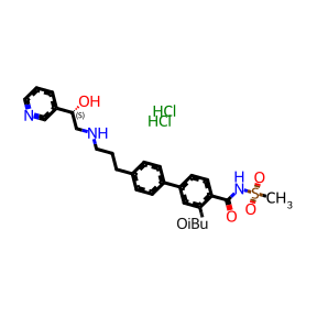 CC(C)COc1cc(-c2ccc(CCCNC[C@@H](O)c3cccnc3)cc2)ccc1C(=O)NS(C)(=O)=O.Cl.Cl